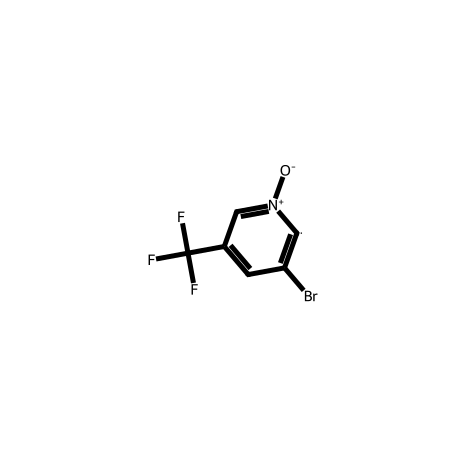 [O-][n+]1[c]c(Br)cc(C(F)(F)F)c1